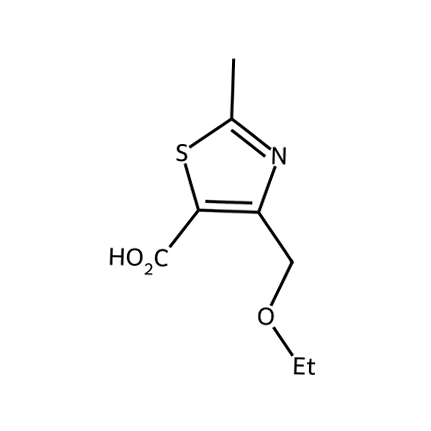 CCOCc1nc(C)sc1C(=O)O